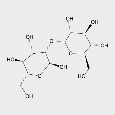 OC[C@H]1O[C@H](O[C@H]2[C@@H](O)[C@H](O)[C@@H](CO)O[C@@H]2O)[C@H](O)[C@@H](O)[C@@H]1O